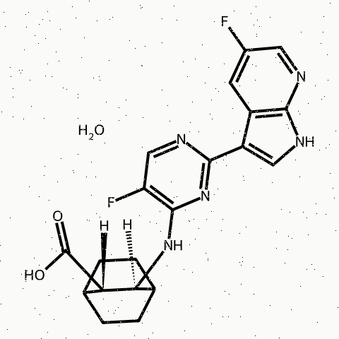 O.O=C(O)[C@H]1C2CCC(CC2)[C@@H]1Nc1nc(-c2c[nH]c3ncc(F)cc23)ncc1F